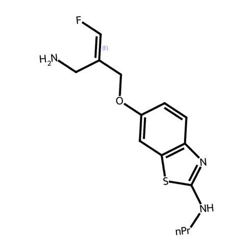 CCCNc1nc2ccc(OC/C(=C/F)CN)cc2s1